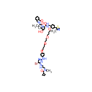 Cc1ncsc1-c1ccc(CNC(=O)[C@@H]2C[C@@H](O)CN2C(=O)[C@H](C(C)C)N2Cc3ccccc3C2=O)c(OCCCCOCCCOCCCCOc2ccc(Nc3ncc(Br)c(NCCCN(C)C(=O)C4CCC4)n3)cc2)c1